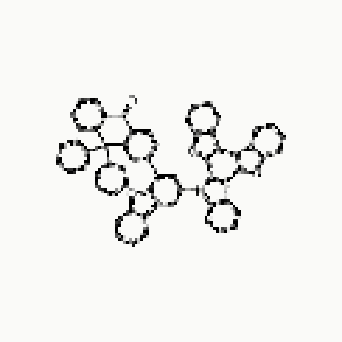 O=C1c2ccccc2C(c2ccccc2)(c2ccccc2)c2cc(-c3cc(-n4c5ccccc5c5c6oc7ccccc7c6c6c7ccccc7oc6c54)cc4c3oc3ccccc34)ccc21